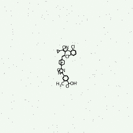 Cc1cc(-c2noc(C34CCC(C=Cc5c(-c6c(Cl)cccc6Cl)noc5C5CC5)(CC3)CC4)n2)ccc1C(=O)O